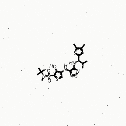 Cc1cc([C@H](Nc2nsnc2Nc2csc(S(=O)(=O)N(C)C(C)(C)C)c2O)C(C)C)sc1C